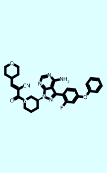 N#C/C(=C\C1CCOCC1)C(=O)N1CCC[C@H](n2nc(-c3ccc(Oc4ccccc4)cc3F)c3c(N)ncnc32)C1